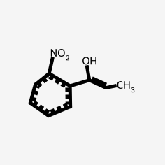 CC=C(O)c1ccccc1[N+](=O)[O-]